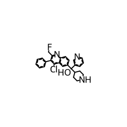 OC(c1cccnc1)(c1ccc2nc(CF)c(-c3ccccc3)c(Cl)c2c1)C1CCNCC1